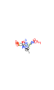 C[C@@H](Nc1ncnc2[nH]c(=O)c(C3(C#N)CCS(=O)(=O)CC3)cc12)c1cccc(C(F)(F)CC2CN(C(=O)O)C2)c1